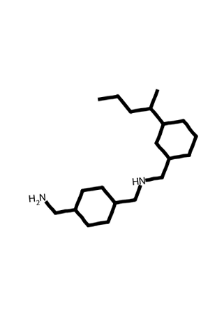 CCCC(C)C1CCCC(CNCC2CCC(CN)CC2)C1